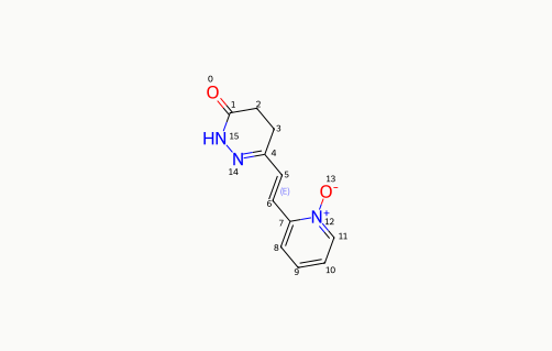 O=C1CCC(/C=C/c2cccc[n+]2[O-])=NN1